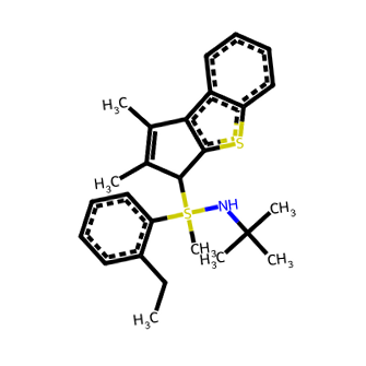 CCc1ccccc1S(C)(NC(C)(C)C)C1C(C)=C(C)c2c1sc1ccccc21